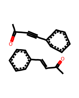 CC(=O)C#Cc1ccccc1.CC(=O)C=Cc1ccccc1